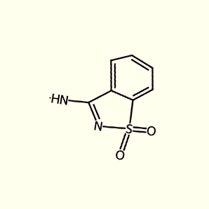 [NH]C1=NS(=O)(=O)c2ccccc21